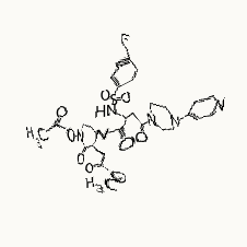 COC(=O)C[C@H]1C(=O)N(OC(C)=O)CCN1C(=O)C(CC(=O)N1CCN(c2ccncc2)CC1)NS(=O)(=O)c1ccc(F)cc1